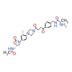 CC(=O)NC[C@H]1CN(c2ccc(N3CCN(C(=O)CCC(=O)c4ccc(CNC(=O)[C@H](C)N)cc4)CC3)c(F)c2)C(=O)O1